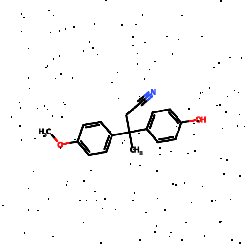 COc1ccc(C(C)(CC#N)c2ccc(O)cc2)cc1